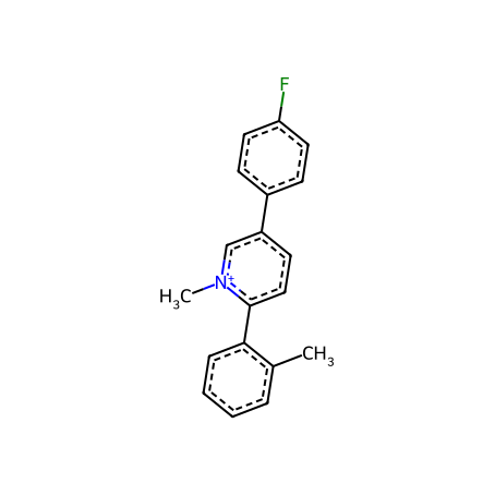 Cc1ccccc1-c1ccc(-c2ccc(F)cc2)c[n+]1C